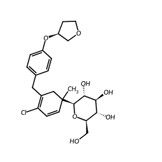 CC1([C@@H]2O[C@H](CO)[C@@H](O)[C@H](O)[C@H]2O)C=CC(Cl)=C(Cc2ccc(O[C@H]3CCOC3)cc2)C1